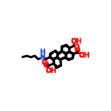 CCCCCNC(=O)c1ccc2c3ccc(C(=O)O)c4c(C(=O)O)ccc(c5ccc(C(=O)O)c1c52)c43